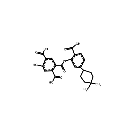 CC1(C)CCC(c2ccc(C(=O)O)c(NC(=O)c3cc(C(=O)O)c(O)cc3C(=O)O)c2)CC1